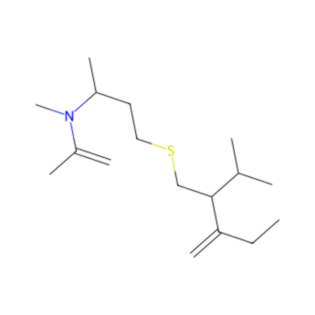 C=C(CC)C(CSCCC(C)N(C)C(=C)C)C(C)C